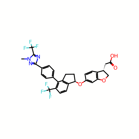 Cn1nc(-c2ccc(-c3c(C(F)(F)F)ccc4c3CC[C@H]4Oc3ccc4c(c3)OC[C@H]4CC(=O)O)cc2)nc1C(F)(F)F